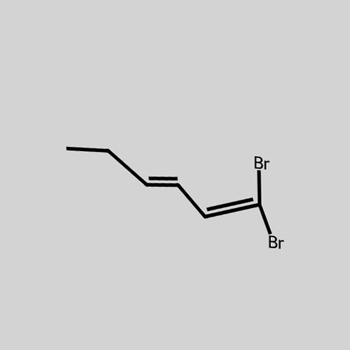 CCC=CC=C(Br)Br